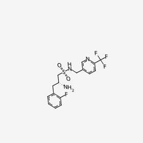 N[C@H](Cc1ccccc1F)CS(=O)(=O)NCc1ccc(C(F)(F)F)nc1